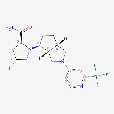 NC(=O)[C@@H]1C[C@@H](F)CN1[C@H]1CC[C@@H]2CN(c3ccnc(C(F)(F)F)c3)C[C@@H]21